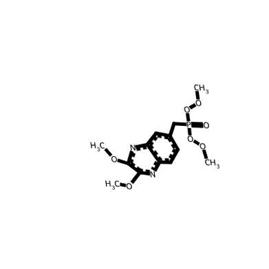 COOP(=O)(Cc1ccc2nc(OC)c(OC)nc2c1)OOC